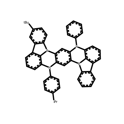 CC(C)c1ccc(N2c3cc4c(cc3B3c5ccc(C(C)(C)C)cc5-c5cccc2c53)N(c2ccccc2)c2cccc3c2B4c2ccccc2-3)cc1